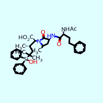 CC(=O)N[C@@H](CCc1ccccc1)C(=O)N[C@H]1CC(C)N([C@H](C(=O)O)[C@@H](C)CC(C)(C)[Si](O)(c2ccccc2)c2ccccc2)C1=O